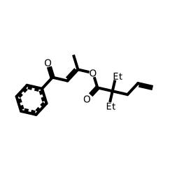 C=CCC(CC)(CC)C(=O)O/C(C)=C/C(=O)c1ccccc1